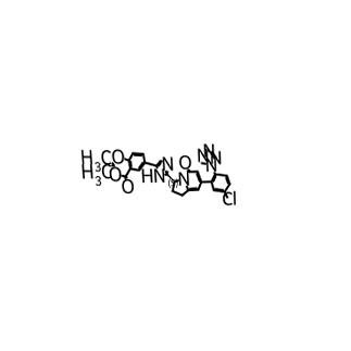 CC1(C)OC(=O)c2cc(-c3cnc([C@@H]4CCc5cc(-c6cc(Cl)ccc6-n6cnnn6)cc(=O)n54)[nH]3)ccc2O1